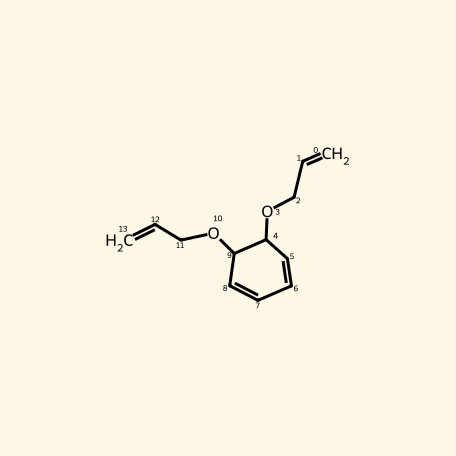 C=CCOC1C=CC=CC1OCC=C